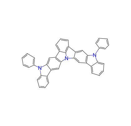 c1ccc(-n2c3ccccc3c3cc4c(cc32)c2cccc3c5cc6c(cc5n4c23)c2ccccc2n6-c2ccccc2)cc1